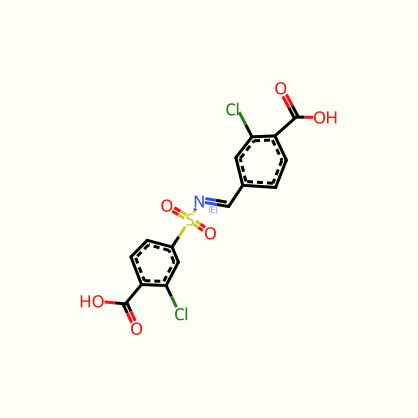 O=C(O)c1ccc(/C=N/S(=O)(=O)c2ccc(C(=O)O)c(Cl)c2)cc1Cl